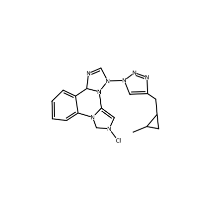 CC1CC1Cc1cn(N2C=NC3c4ccccc4N4CN(Cl)C=C4N32)nn1